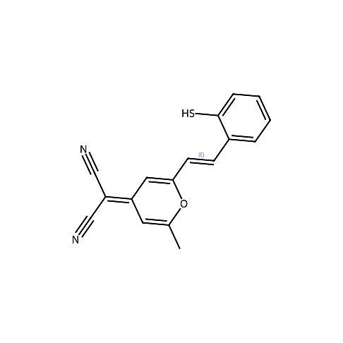 CC1=CC(=C(C#N)C#N)C=C(/C=C/c2ccccc2S)O1